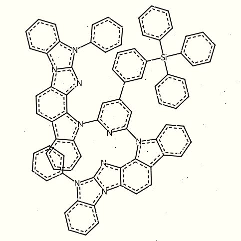 c1ccc(-n2c3ccccc3n3c4ccc5c6ccccc6n(-c6cc(-c7cccc([Si](c8ccccc8)(c8ccccc8)c8ccccc8)c7)cc(-n7c8ccccc8c8ccc9c(nc%10n(-c%11ccccc%11)c%11ccccc%11n9%10)c87)n6)c5c4nc23)cc1